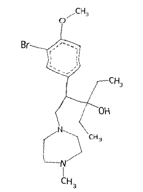 CCC(O)(CC)C(CN1CCN(C)CC1)c1ccc(OC)c(Br)c1